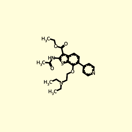 CCOC(=O)c1c(NC(C)=O)sc2c(OCCN(CC)CC)c(-c3ccncc3)ccc12